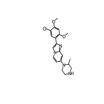 COc1cc(OC)c(-c2cn3ccc(N4CCNCC4C)cc3n2)cc1Cl